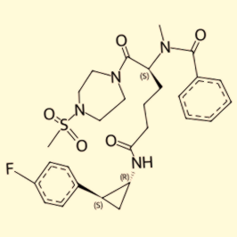 CN(C(=O)c1ccccc1)[C@@H](CCCC(=O)N[C@@H]1C[C@H]1c1ccc(F)cc1)C(=O)N1CCN(S(C)(=O)=O)CC1